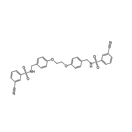 N#Cc1cccc(S(=O)(=O)NCc2ccc(OCCOc3ccc(CNS(=O)(=O)c4cccc(C#N)c4)cc3)cc2)c1